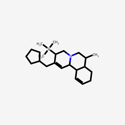 CC1CN2CC([Si](C)(C)C)C(CC3CCCC3)=CC2C2C=CCCC12